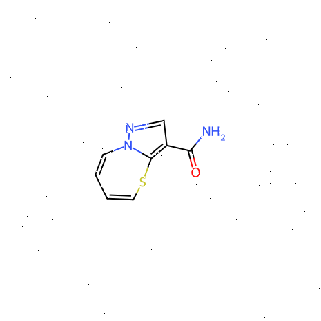 NC(=O)c1cnn2c1SC=CC=C2